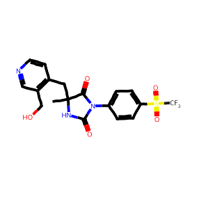 CC1(Cc2ccncc2CO)NC(=O)N(c2ccc(S(=O)(=O)C(F)(F)F)cc2)C1=O